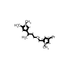 Cc1cc(C(C)CCOCc2cc(C(C)C)cn2C)cn1C